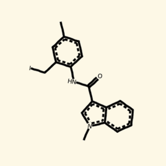 Cc1ccc(NC(=O)c2cn(C)c3ccccc23)c(CI)c1